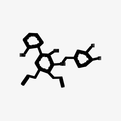 C=CCc1cc(-c2ccccc2O)c(O)c(NCc2ccc(Cl)c(Cl)c2)c1CC=C